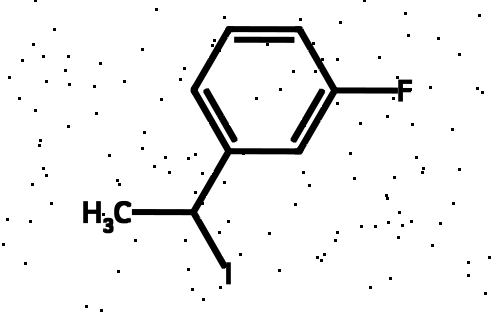 CC(I)c1cccc(F)c1